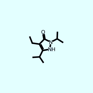 CCc1c(C(C)C)[nH]n(C(C)C)c1=O